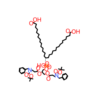 CC(C)(C)OC(=O)N(CCC(=O)OCC(COP(=O)(O)OC[C@H](CCCCCCCCCCCCCCC(=O)O)CCCCCCCCCCCCCC(=O)O)OC(=O)CCN(Cc1ccccc1)C(=O)OC(C)(C)C)Cc1ccccc1